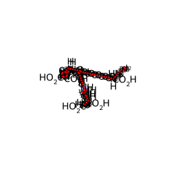 N=N/C(=C\NCCOCCOCCOCCC(=O)N[C@@H](CCCCNC(=S)Nc1ccc(CC2CN(CC(=O)O)CCN(CC(=O)O)CCN(CC(=O)O)CCN2CC(=O)O)cc1)C(=O)NCCOCCOCCOCCOCCOCCOCCOCCOCCC(=O)N[C@@H](CCCCNC(=S)CCCc1ccc(I)cc1)C(=O)O)c1cccc(NC(=O)NCCCC[C@H](NC(=O)NCC(=O)O)C(=O)O)c1